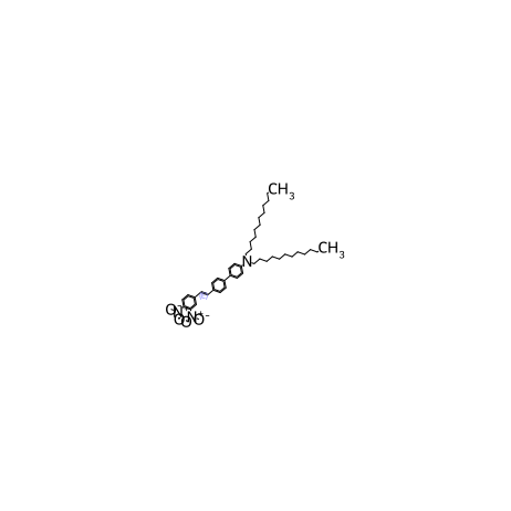 CCCCCCCCCCCCN(CCCCCCCCCCCC)c1ccc(-c2ccc(/C=C/c3ccc([N+](=O)[O-])c([N+](=O)[O-])c3)cc2)cc1